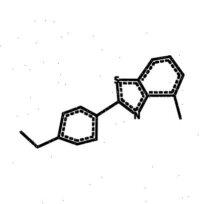 CCc1ccc(-c2nc3c(C)cccc3s2)cc1